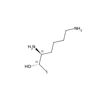 NCCCC[C@H](N)[C@@H](O)I